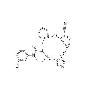 N#Cc1ccc2cc1Oc1ccccc1CC1C(=O)N(c3cccc(Cl)c3)CCN1Cc1cncn1C2